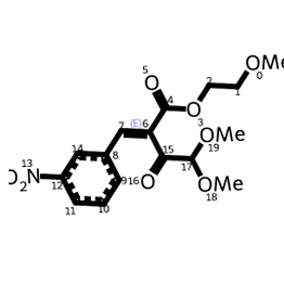 COCCOC(=O)/C(=C/c1cccc([N+](=O)[O-])c1)C(=O)C(OC)OC